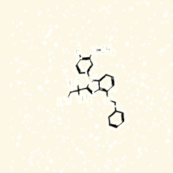 COc1cc(-n2c(C(C)(C)CO)cc3c(OCc4ccccc4)cccc32)ccc1F